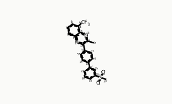 Cc1nc2c(C(F)(F)F)cccc2nc1-c1ccc(-c2cccc(S(C)(=O)=O)c2)cc1